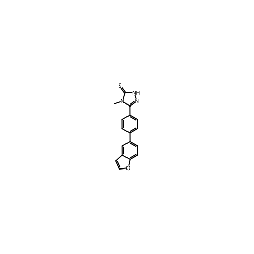 Cn1c(-c2ccc(-c3ccc4occc4c3)cc2)n[nH]c1=S